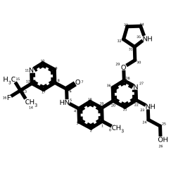 Cc1ccc(NC(=O)c2ccnc(C(C)(C)F)c2)cc1-c1cc(NCCO)nc(OCC2CCCN2)c1